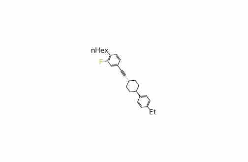 CCCCCCc1ccc(C#C[C@H]2CC[C@H](c3ccc(CC)cc3)CC2)cc1F